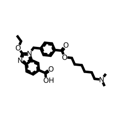 CCOc1nc2ccc(C(=O)O)cc2n1Cc1ccc(C(=O)OCCCCCCN(C)C)cc1